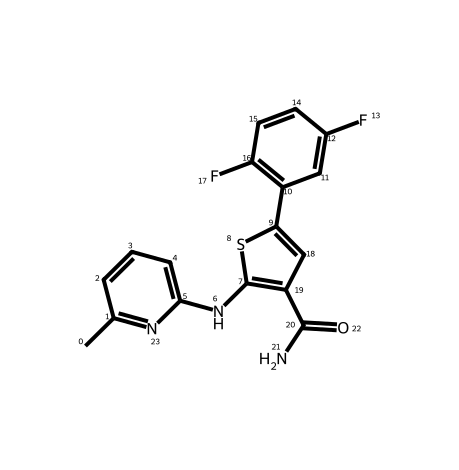 Cc1cccc(Nc2sc(-c3cc(F)ccc3F)cc2C(N)=O)n1